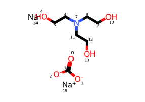 O=C([O-])[O-].OCCN(CCO)CCO.[Na+].[Na+]